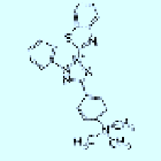 C[N+](C)(C)c1ccc(-c2nn(-c3ccccc3)[n+](-c3nc4ccccc4s3)n2)cc1